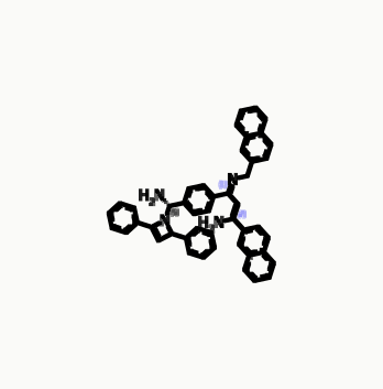 N/C(=C\C(=N/Cc1ccc2ccccc2c1)c1ccc([C@@H](N)N2C(c3ccccc3)=CC2c2ccccc2)cc1)c1ccc2ccccc2c1